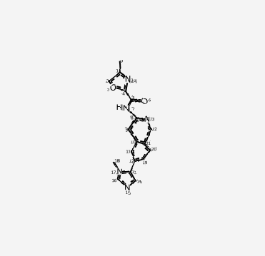 Cc1coc(C(=O)Nc2cc3cc(-c4cncn4C)ccc3cn2)n1